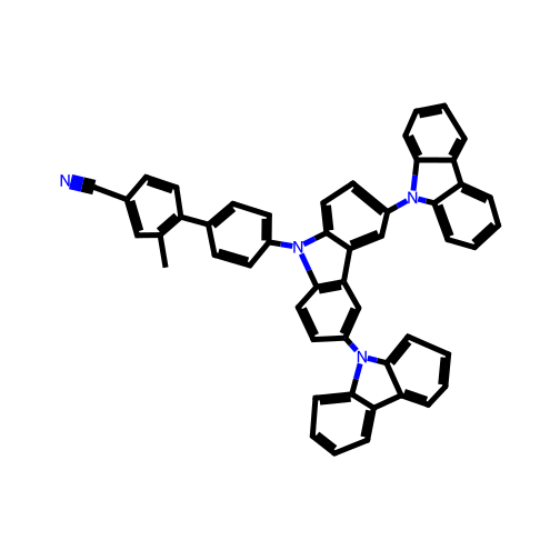 Cc1cc(C#N)ccc1-c1ccc(-n2c3ccc(-n4c5ccccc5c5ccccc54)cc3c3cc(-n4c5ccccc5c5ccccc54)ccc32)cc1